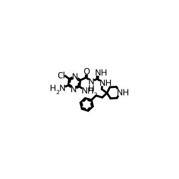 N=C(NCC1(CCc2ccccc2)CCNCC1)NC(=O)c1nc(Cl)c(N)nc1N